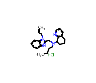 Cl.[CH2]CCCN(Cc1nc2ccccc2n1CC=C)C1CCCc2cccnc21